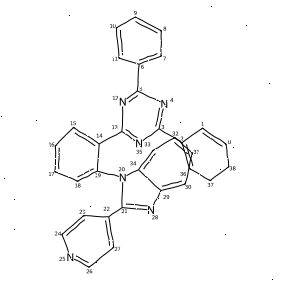 C1=CC(c2nc(-c3ccccc3)nc(-c3ccccc3-n3c(-c4ccncc4)nc4ccccc43)n2)=CCC1